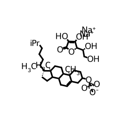 CC(C)CCC[C@@H](C)[C@H]1CCC2C3CC=C4CC(OP(=O)([O-])[O-])CC[C@]4(C)C3CC[C@@]21C.O=C1O[C@H]([C@@H](O)CO)C(O)=C1O.[Na+].[Na+]